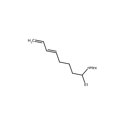 C=CC=CCCCC(CC)CCCCCC